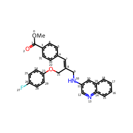 COC(=O)c1ccc(C=C(CNc2cnc3ccccc3c2)COc2ccc(F)cc2)cc1